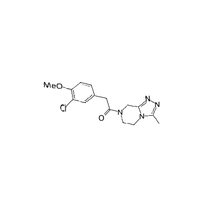 COc1ccc(CC(=O)N2CCn3c(C)nnc3C2)cc1Cl